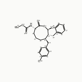 C[C@@H]1OC(=O)[C@@H](NC(=O)OC(C)(C)C)CCC[C@H](Cc2ccc(Cl)cc2)[C@H]1Cc1ccccc1